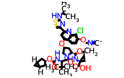 [C-]#[N+]COc1ccc2c(O[C@@H]3C[C@@H](C(=O)N[C@]4(C(=O)O)C[C@H]4C=C)N(C(=O)[C@@H](NC(=O)O[C@@H]4C[C@@H]5C[C@@H]5C4)C(C)(C)C)C3)cc(-c3csc(NC(C)C)n3)nc2c1Cl